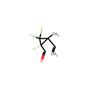 C=CC1(C)C(F)(F)[C@]1(F)[C]=O